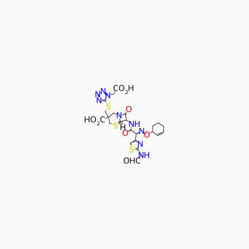 O=CNc1nc(C(=NOC2C=CCCC2)C(=O)NC2C(=O)N3CC(CSc4nnnn4CC(=O)O)(C(=O)O)CS[C@H]23)cs1